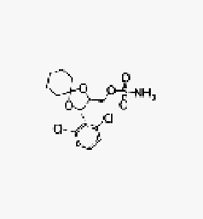 NS(=O)(=O)OC[C@@H]1OC2(CCCCC2)O[C@H]1c1c(Cl)cccc1Cl